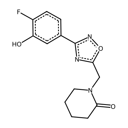 O=C1CCCCN1Cc1nc(-c2ccc(F)c(O)c2)no1